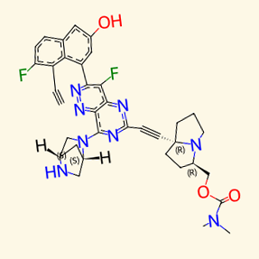 C#Cc1c(F)ccc2cc(O)cc(-c3nnc4c(N5C[C@@H]6C[C@H]5CN6)nc(C#C[C@]56CCCN5[C@@H](COC(=O)N(C)C)CC6)nc4c3F)c12